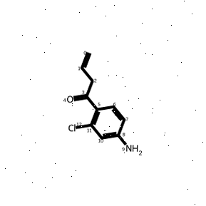 C=CCC(=O)c1ccc(N)cc1Cl